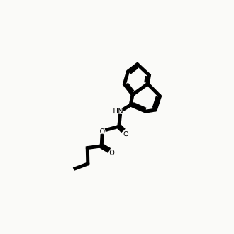 CCCC(=O)OC(=O)Nc1cccc2ccccc12